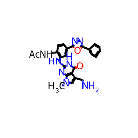 CC(=O)Nc1ccc(-c2nnc(-c3ccccc3)o2)cc1Nc1nc2c(c(CN)cn2C)c(=O)[nH]1